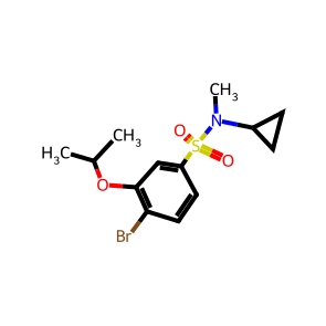 CC(C)Oc1cc(S(=O)(=O)N(C)C2CC2)ccc1Br